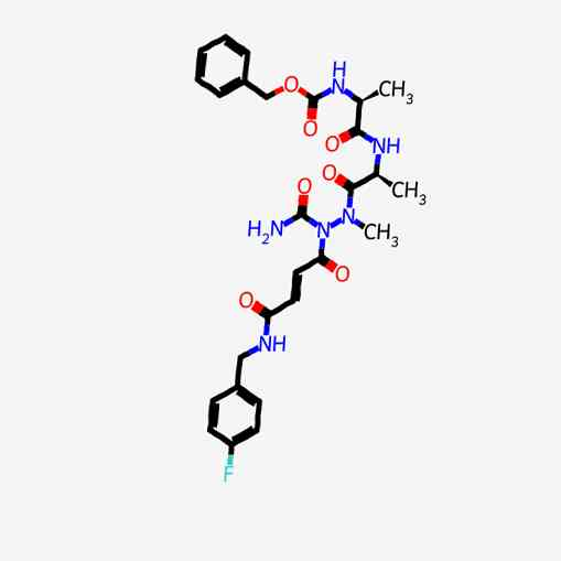 C[C@H](NC(=O)OCc1ccccc1)C(=O)N[C@@H](C)C(=O)N(C)N(C(N)=O)C(=O)/C=C/C(=O)NCc1ccc(F)cc1